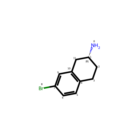 N[C@@H]1CCc2ccc(Br)cc2C1